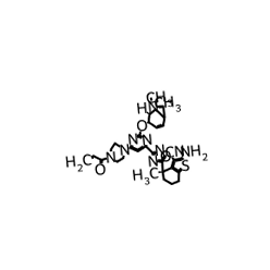 C=CC(=O)N1CCN(c2cc(-c3noc([C@@]4(C)CCCc5sc(N)c(C#N)c54)n3)nc(O[C@H]3C=CC4CN(C)[C@@H]3C4C)n2)CC1